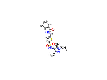 Cc1nn(C)c(C)c1NS(=O)(=O)c1ccc(CNC(=O)c2ccccc2)s1